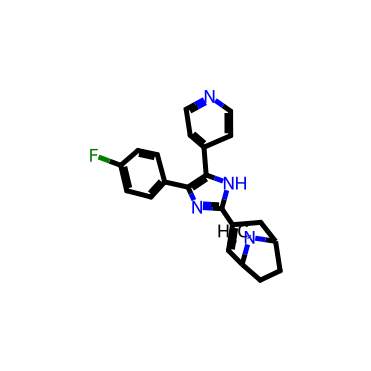 CN1C2C=C(c3nc(-c4ccc(F)cc4)c(-c4ccncc4)[nH]3)CC1CC2